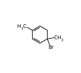 CC1=CCC(C)(Br)C=C1